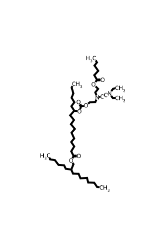 CCCCCCCCC(CCCCCC)COC(=O)CCCCCCCCCC(CCCCCC)OC(=O)OCCN(CCOC(=O)CCCCC)CCN(CC)CC